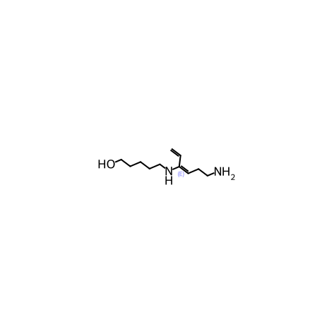 C=C/C(=C\CCN)NCCCCCO